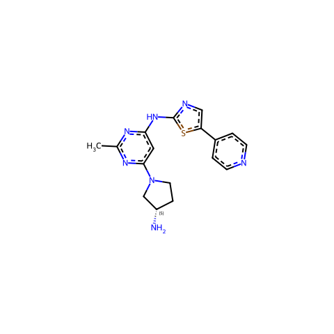 Cc1nc(Nc2ncc(-c3ccncc3)s2)cc(N2CC[C@H](N)C2)n1